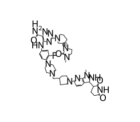 CN1CCN([C@@H]2CCCN(c3nnc(C(N)=O)c(Nc4ccc(N5CCN(CC6CCN(c7ccc8c(n7)N(C)NC8C7CCC(=O)NC7=O)CC6)CC5)c(F)c4)n3)C2)C1=O